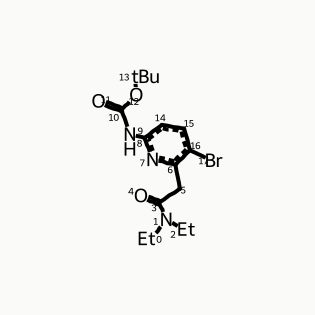 CCN(CC)C(=O)Cc1nc(NC(=O)OC(C)(C)C)ccc1Br